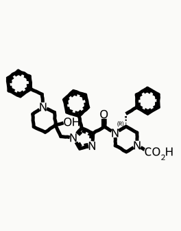 O=C(O)N1CCN(C(=O)c2ncn(CC3(O)CCCN(Cc4ccccc4)C3)c2-c2ccccc2)[C@H](Cc2ccccc2)C1